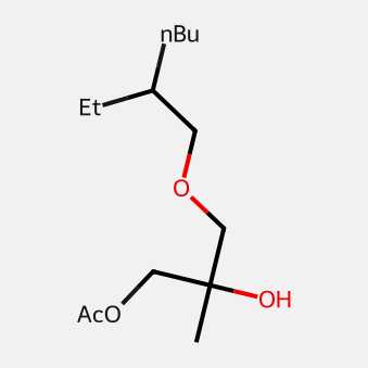 CCCCC(CC)COCC(C)(O)COC(C)=O